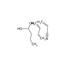 C=CC#N.C=CC=C.CCCC(O)O